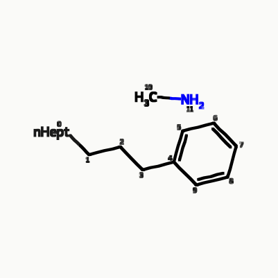 CCCCCCCCCCc1ccccc1.CN